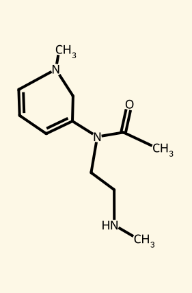 CNCCN(C(C)=O)C1=CC=CN(C)C1